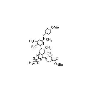 COc1ccc(CN(C)c2cc(C)c(C(F)(F)F)c(C3Cc4nc(S(C)(=O)=O)nc(N5CCN(C(=O)OC(C)(C)C)C[C@@H]5C)c4CC3C)n2)cc1